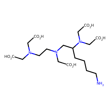 NCCCCC(CN(CCN(CC(=O)O)CC(=O)O)CC(=O)O)N(CC(=O)O)CC(=O)O